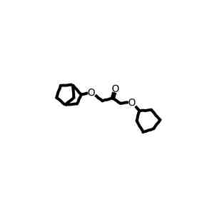 O=C(COC1CCCCC1)COC1CC2CCC1C2